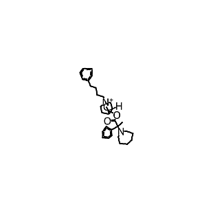 CC(C(=O)O[C@H]1C[N+]2(CCCCc3ccccc3)CCC1CC2)(c1ccccc1)N1CCCCCC1